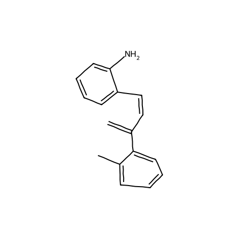 C=C(/C=C\c1ccccc1N)c1ccccc1C